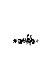 CCc1cc(O)ccc1-c1ccc2c(-c3nc(C4=CCN(C5COC5)CC4)c[nH]3)n[nH]c2c1